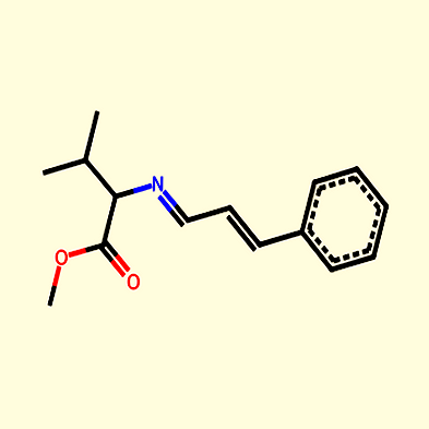 COC(=O)C(N=CC=Cc1ccccc1)C(C)C